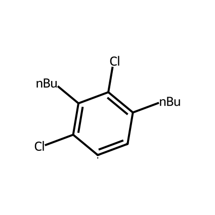 CCCCc1c[c]c(Cl)c(CCCC)c1Cl